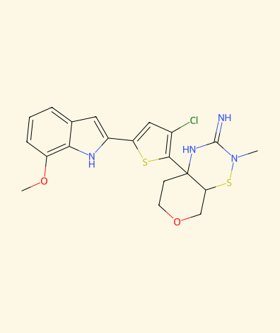 COc1cccc2cc(-c3cc(Cl)c(C45CCOCC4SN(C)C(=N)N5)s3)[nH]c12